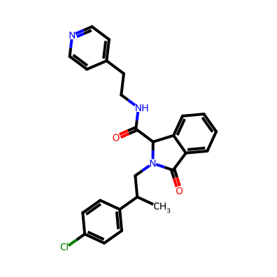 CC(CN1C(=O)c2ccccc2C1C(=O)NCCc1ccncc1)c1ccc(Cl)cc1